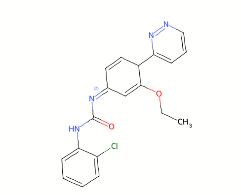 CCOC1=C/C(=N\C(=O)Nc2ccccc2Cl)C=CC1c1cccnn1